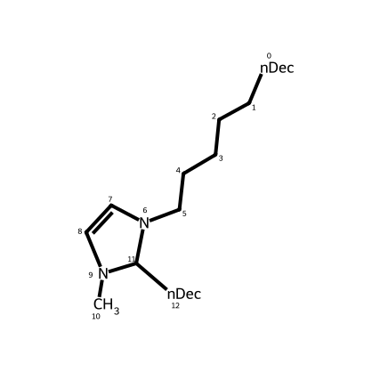 CCCCCCCCCCCCCCCN1C=CN(C)C1CCCCCCCCCC